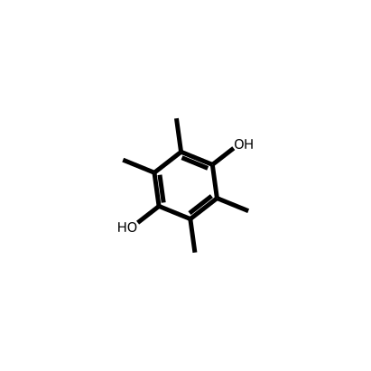 Cc1c(C)c(O)c(C)c(C)c1O